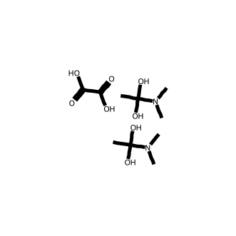 CN(C)C(C)(O)O.CN(C)C(C)(O)O.O=C(O)C(=O)O